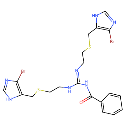 O=C(N/C(=N\CCSCc1[nH]cnc1Br)NCCSCc1[nH]cnc1Br)c1ccccc1